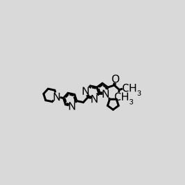 CC(C)C(=O)c1cc2cnc(Cc3ccc(N4CCCCC4)cn3)nc2n1C1CCCC1